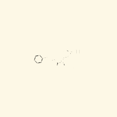 CN(C)CCN(C)C(=O)COCc1ccccc1